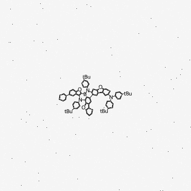 CC(C)(C)c1ccc(N2B3c4oc5ccc(-c6ccccc6)cc5c4N(c4ccc(C(C)(C)C)cc4)c4c3c(cc3c4oc4ccccc43)-c3cc4c(cc32)oc2ccc(N(c3ccc(C(C)(C)C)cc3)c3ccc(C(C)(C)C)cc3)cc24)cc1